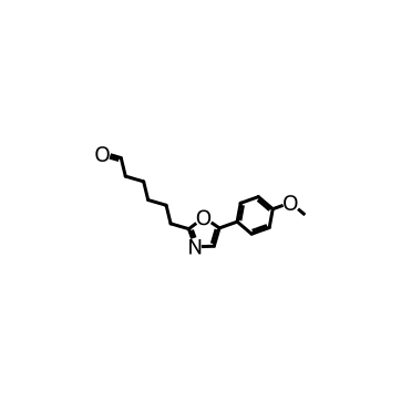 COc1ccc(-c2cnc(CCCCCC=O)o2)cc1